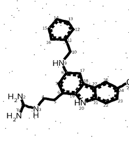 NC(N)NCCc1cc(NCc2ccccc2)cc2c1[nH]c1ccc(Cl)cc12